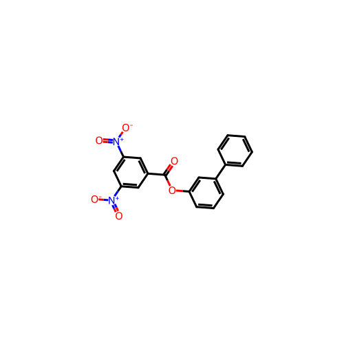 O=C(Oc1cccc(-c2ccccc2)c1)c1cc([N+](=O)[O-])cc([N+](=O)[O-])c1